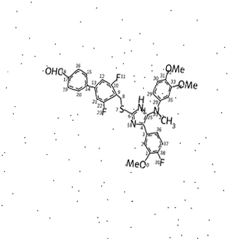 COc1cc(-c2nc(SCc3c(F)cc(-c4ccc(C=O)cc4)cc3F)[nH]c2N(C)c2ccc(OC)c(OC)c2)ccc1F